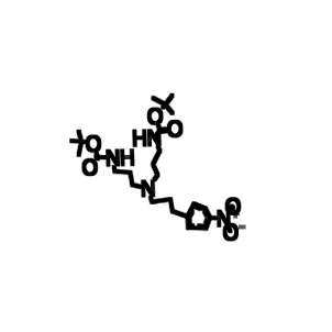 CC(C)(C)OC(=O)NCCCN(CCCNC(=O)OC(C)(C)C)CCCc1ccc([N+](=O)[O-])cc1